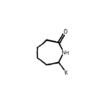 O=C1CCCC[CH]([K])N1